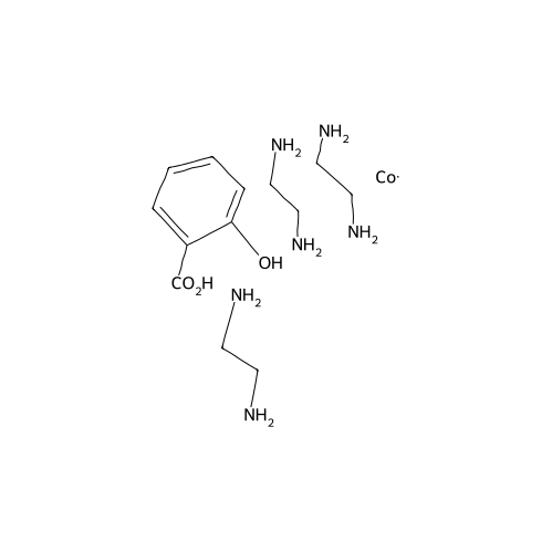 NCCN.NCCN.NCCN.O=C(O)c1ccccc1O.[Co]